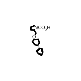 O=C(O)N1CCCC1CO[C@H]1CC[C@@H](c2ccccc2)CC1